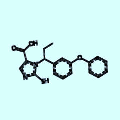 CCC(c1cccc(Oc2ccccc2)c1)n1c(C(=O)O)cnc1S